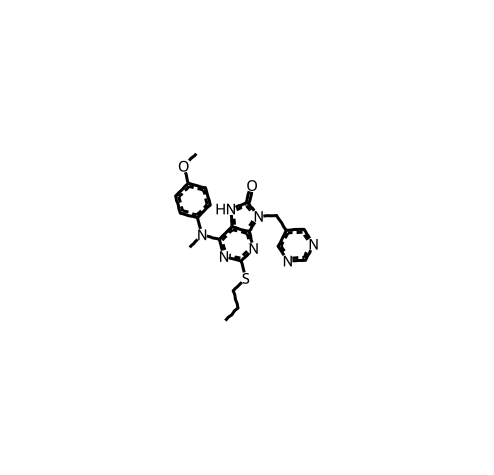 CCCSc1nc(N(C)c2ccc(OC)cc2)c2[nH]c(=O)n(Cc3cncnc3)c2n1